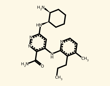 CCCc1c(C)ccnc1Nc1cc(N[C@@H]2CCCC[C@@H]2N)nnc1C(N)=O